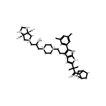 Cc1cc(C)cc(-c2[nH]c3sc(C(C)(C)C(=O)C4C5CCC4NC5)cc3c2CCN2CCN(CC(O)CN3C[C@@H]4OCO[C@@H]4C3)CC2)c1